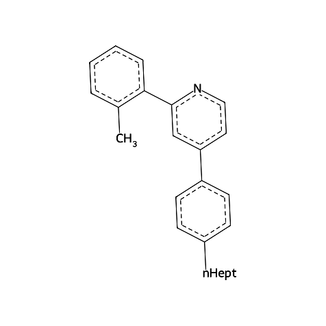 CCCCCCCc1ccc(-c2ccnc(-c3ccccc3C)c2)cc1